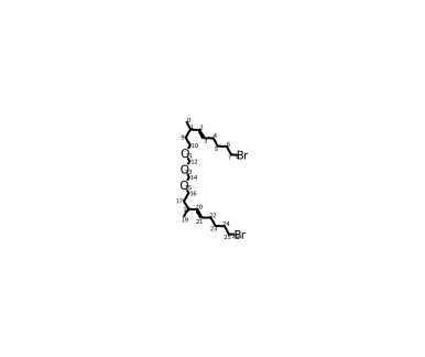 CC(C=CCCCCBr)CCOCOCOCCC(C)C=CCCCCBr